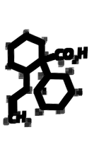 C=CCC1CCCCC1(C(=O)O)C1CCCCC1